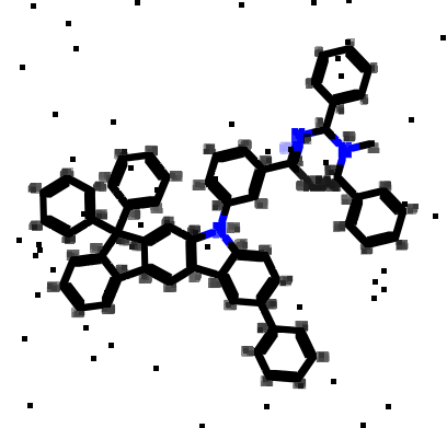 CN/C(=N\C(c1ccccc1)N(C)Cc1ccccc1)c1cccc(-n2c3ccc(-c4ccccc4)cc3c3cc4c(cc32)C(c2ccccc2)(c2ccccc2)c2ccccc2-4)c1